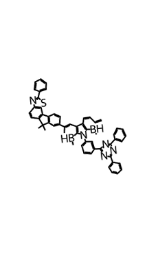 C=C/C=C\c1c(/C=C(\C)c2ccc3c(c2)C(C)(C)c2ccc4nc(-c5ccccc5)sc4c2-3)c(BC)n(-c2cccc(-c3nc(-c4ccccc4)nc(-c4ccccc4)n3)c2)c1BC